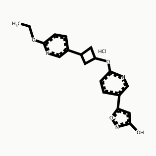 CCOc1ccc(C2CC(Oc3ccc(-c4cc(O)no4)cn3)C2)cn1.Cl